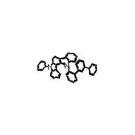 c1ccc(-c2cccc(-c3ccccc3-n3c4ccccc4c4ccc5c(c6ccccc6n5-c5ccccc5)c43)c2)cc1